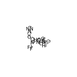 O=C(NC1(C(=O)O)C2CC3CC(C2)CC1C3)c1ccc(-c2cn(CC3CC3(F)F)c3cc(OC4CCN(c5ncccn5)CC4)ccc23)nc1C(F)(F)F